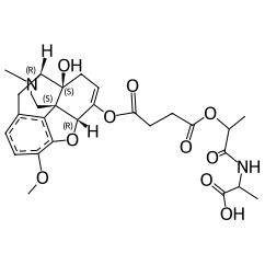 COc1ccc2c3c1O[C@H]1C(OC(=O)CCC(=O)OC(C)C(=O)NC(C)C(=O)O)=CC[C@@]4(O)[C@@H](C2)N(C)CC[C@]314